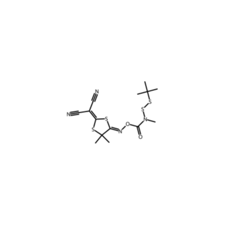 CN(SSC(C)(C)C)C(=O)ON=C1SC(=C(C#N)C#N)SC1(C)C